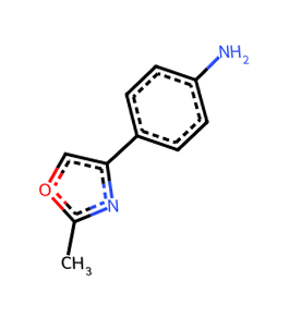 Cc1nc(-c2ccc(N)cc2)co1